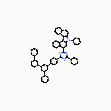 c1ccc(-c2cccc(-c3cc(-c4ccccc4)cc(-c4ccc(-c5nc(-c6ccccc6)nc(-c6cc7c(c8ccccc68)c6c8ccccc8ccc6n7-c6ccccc6)n5)cc4)c3)c2)cc1